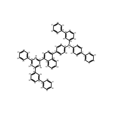 c1ccc(-c2ccc(N(c3ccc(-c4ccc(-c5nc(-c6ccccc6)nc(-c6cccc(-c7ccccc7)c6)n5)c5ccccc45)cc3)c3cccc(-c4ccccc4)c3)cc2)cc1